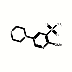 COc1ncc(N2CCOCC2)cc1S(N)(=O)=O